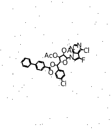 CC(=O)O[C@@H]1[C@@H]([C@H](OC(=O)c2ccc(-c3ccccc3)cc2)c2ccc(Cl)cc2)OC(n2cc(F)c3c(Cl)ncnc32)[C@@H]1OC(C)=O